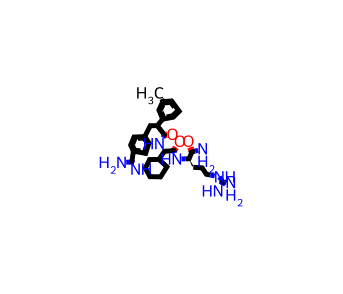 Cc1cccc(C(Cc2ccc(C(=N)N)cc2)C(=O)N[C@H](C(=O)N[C@@H](CCCNC(=N)N)C(N)=O)C2CCCCC2)c1